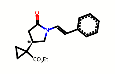 CCOC(=O)C1([C@H]2CC(=O)N(C=Cc3ccccc3)C2)CC1